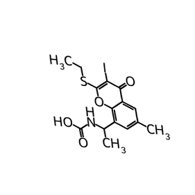 CCSc1oc2c(C(C)NC(=O)O)cc(C)cc2c(=O)c1I